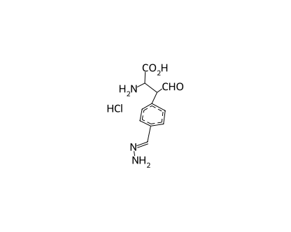 Cl.NN=Cc1ccc(C(C=O)C(N)C(=O)O)cc1